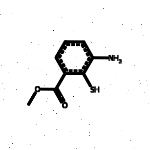 COC(=O)c1cccc(N)c1S